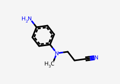 CN(CCC#N)c1ccc(N)cc1